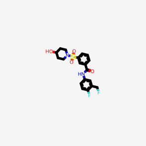 O=C(Nc1ccc(F)c(CF)c1)c1cccc(S(=O)(=O)N2CCC(O)CC2)c1